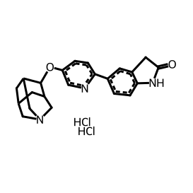 Cl.Cl.O=C1Cc2cc(-c3ccc(OC4C5CC6CC4CN(C6)C5)cn3)ccc2N1